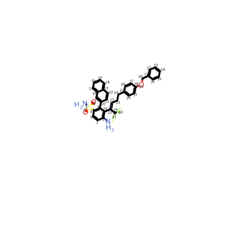 Nc1ccc(S(N)(=O)=O)c(-c2ccc3ccccc3c2)c1/C(=C/CCc1ccc(OCc2ccccc2)cc1)C(F)F